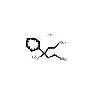 CCCCCCCCCCCCC(CCCCCCCCCCCC)(c1ccccc1)S(=O)(=O)O.[NaH]